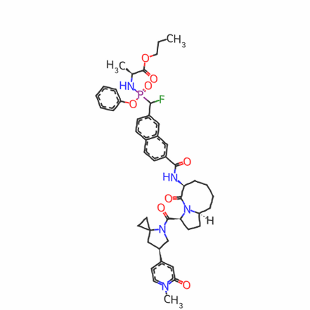 CCCOC(=O)[C@H](C)NP(=O)(Oc1ccccc1)C(F)c1ccc2ccc(C(=O)N[C@H]3CCCC[C@H]4CC[C@@H](C(=O)N5C[C@@H](c6ccn(C)c(=O)c6)CC56CC6)N4C3=O)cc2c1